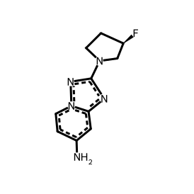 Nc1ccn2nc(N3CC[C@@H](F)C3)nc2c1